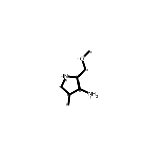 COCC1NCC(C)C1N